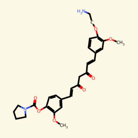 COc1cc(/C=C/C(=O)CC(=O)/C=C/c2ccc(OC(=O)N3CCCC3)c(OC)c2)ccc1OCCN